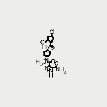 CN(C(=O)c1nc[nH]c1C(N)=O)c1ccc(NC(=O)c2ccc(Cl)cc2Cl)cc1